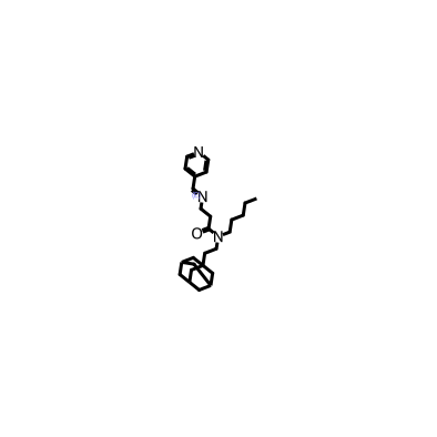 CCCCCN(CCC12CC3CC(CC(C3)C1)C2)C(=O)CC/N=C/c1ccncc1